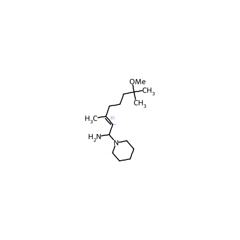 COC(C)(C)CCC/C(C)=[C]/C(N)N1CCCCC1